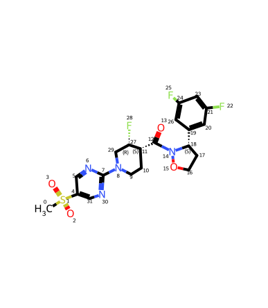 CS(=O)(=O)c1cnc(N2CC[C@@H](C(=O)N3OCC[C@H]3c3cc(F)cc(F)c3)[C@@H](F)C2)nc1